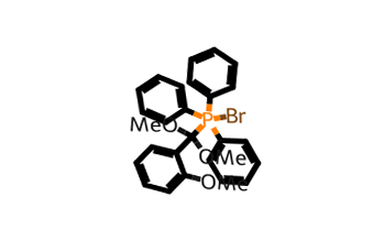 COc1ccccc1C(OC)(OC)P(Br)(c1ccccc1)(c1ccccc1)c1ccccc1